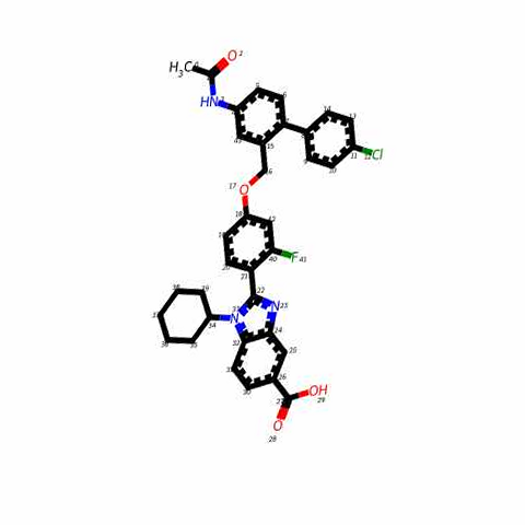 CC(=O)Nc1ccc(-c2ccc(Cl)cc2)c(COc2ccc(-c3nc4cc(C(=O)O)ccc4n3C3CCCCC3)c(F)c2)c1